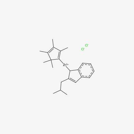 CC1=C(C)C(C)(C)[C]([Zr+2][CH]2C(CC(C)C)=Cc3ccccc32)=C1C.[Cl-].[Cl-]